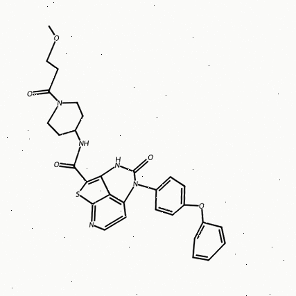 COCCC(=O)N1CCC(NC(=O)c2sc3nccc4c3c2NC(=O)N4c2ccc(Oc3ccccc3)cc2)CC1